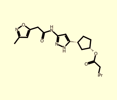 Cc1cc(CC(=O)Nc2cc([C@@H]3CC[C@H](OC(=O)CC(C)C)C3)[nH]n2)on1